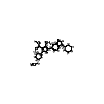 COC(=O)c1c(N2C[C@H](CO)C[C@@H]2C)sc(-c2ccc3c(c2)ncn3C2CCCCC2)c1N